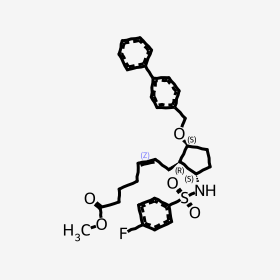 COC(=O)CCC/C=C\C[C@@H]1[C@@H](NS(=O)(=O)c2ccc(F)cc2)CC[C@@H]1OCc1ccc(-c2ccccc2)cc1